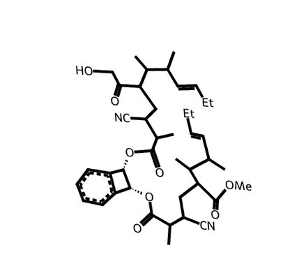 CC/C=C/C(C)C(C)C(CC(C#N)C(C)C(=O)O[C@H]1c2ccccc2[C@H]1OC(=O)C(C)C(C#N)CC(C(=O)OC)C(C)C(C)/C=C/CC)C(=O)CO